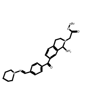 CCCCOC(=O)CN1CCc2ccc(C(=O)c3ccc(C=NN4CCCCC4)cc3)cc2C1N